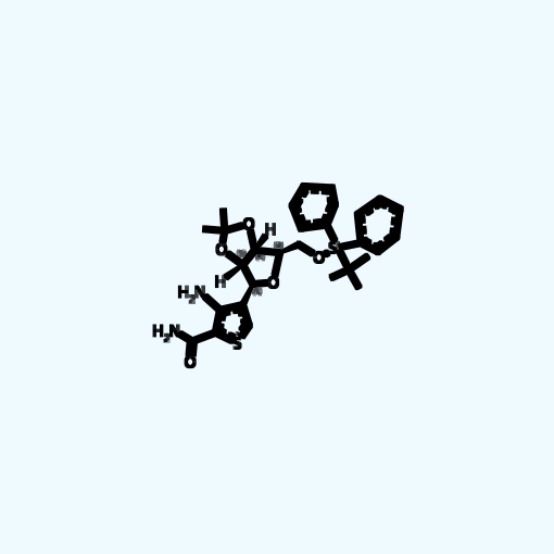 CC1(C)O[C@@H]2[C@H](O1)[C@@H](CO[Si](c1ccccc1)(c1ccccc1)C(C)(C)C)O[C@H]2c1csc(C(N)=O)c1N